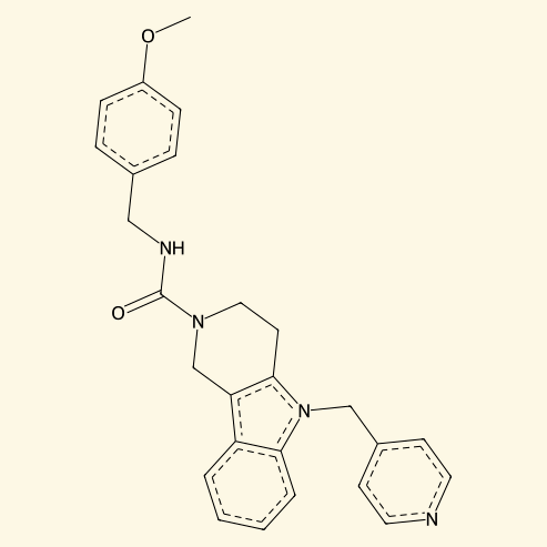 COc1ccc(CNC(=O)N2CCc3c(c4ccccc4n3Cc3ccncc3)C2)cc1